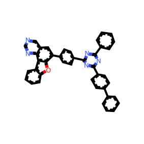 c1ccc(-c2ccc(-c3nc(-c4ccccc4)nc(-c4ccc(-c5cc6cncnc6c6c5oc5ccccc56)cc4)n3)cc2)cc1